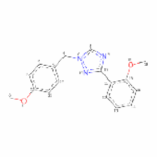 COc1ccc(Cn2[c]nc(-c3ccccc3OC)n2)cc1